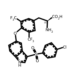 N[C@@H](Cc1cc(C(F)(F)F)c(Oc2ccc3[nH]cc(S(=O)(=O)c4ccc(Cl)cc4)c3c2)c(C(F)(F)F)c1)C(=O)O